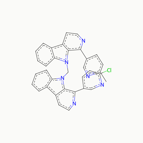 Cc1ccc(-c2nccc3c4ccccc4n(Cn4c5ccccc5c5ccnc(-c6ccc(Cl)nc6)c54)c23)cn1